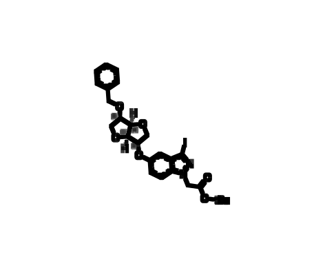 CC(C)(C)OC(=O)Cn1nc(I)c2cc(O[C@@H]3CO[C@H]4[C@@H]3OC[C@H]4OCc3ccccc3)ccc21